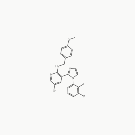 COc1ccc(CNc2ncc(Br)cc2-c2nccn2-c2cccc(F)c2F)cc1